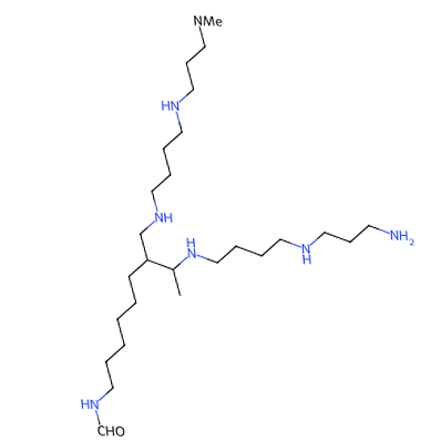 CNCCCNCCCCNCC(CCCCCCNC=O)C(C)NCCCCNCCCN